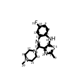 Cc1nc2c(s1)Nc1ccc(F)cc1N=C2N1CCN(C)CC1